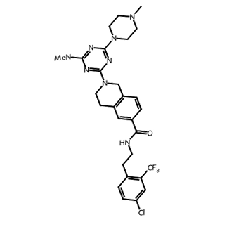 CNc1nc(N2CCN(C)CC2)nc(N2CCc3cc(C(=O)NCCc4ccc(Cl)cc4C(F)(F)F)ccc3C2)n1